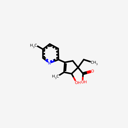 CCC1(C(=O)O)CC(c2ccc(C)cn2)=C(C)C1O